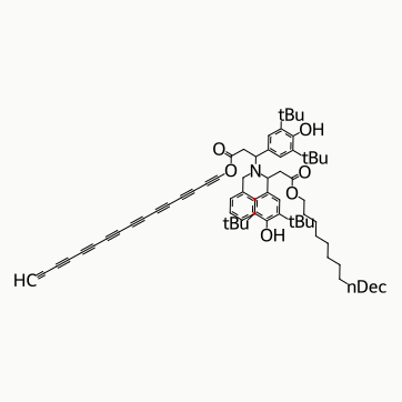 C#CC#CC#CC#CC#CC#CC#CC#COC(=O)CC(c1cc(C(C)(C)C)c(O)c(C(C)(C)C)c1)N(Cc1ccccc1)C(CC(=O)OCCCCCCCCCCCCCCCCCC)c1cc(C(C)(C)C)c(O)c(C(C)(C)C)c1